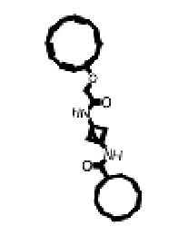 O=C(COC1=C/C=C\C=C/C=C\C=C/C=C\1)NC12CC(NC(=O)C3CCCCCCCCC3)(C1)C2